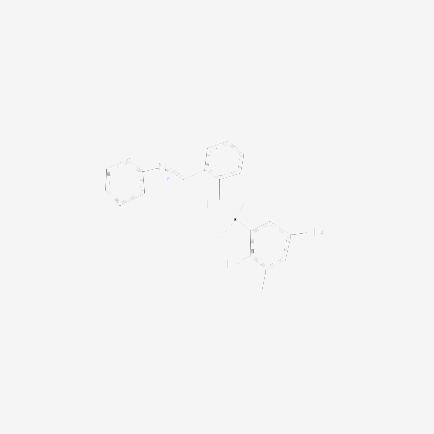 CCCCC(C)(Pc1ccccc1/C=N/c1ccccc1)c1cc(C(C)(C)C)cc(C)c1O